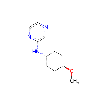 CO[C@H]1CC[C@H](Nc2cnccn2)CC1